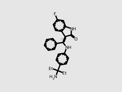 CCC(N)(CC)c1ccc(N/C(=C2\C(=O)Nc3cc(F)ccc32)c2ccccc2)cc1